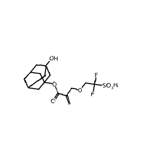 C=C(COCC(F)(F)S(=O)(=O)O)C(=O)OC12CC3CC(CC(O)(C3)C1)C2